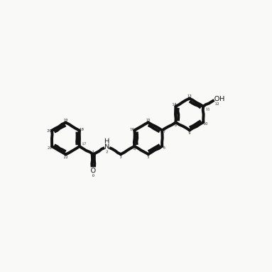 O=C(NCc1ccc(-c2ccc(O)cc2)cc1)c1ccccc1